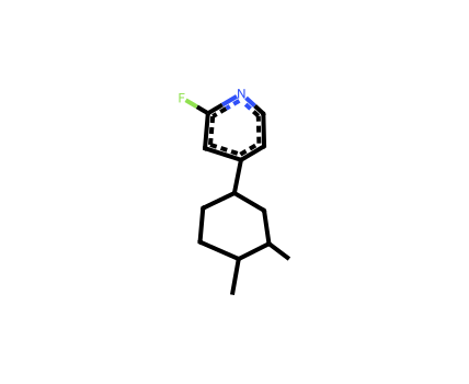 CC1CCC(c2ccnc(F)c2)CC1C